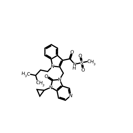 CC(C)CCn1c(Cn2c(=O)n(C3CC3)c3ccncc32)c(C(=O)NS(C)(=O)=O)c2ccccc21